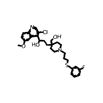 COc1ccc2ncc(Cl)c(C(O)CCC3(CO)CCN(CCCSc4cccc(F)c4)CC3)c2c1